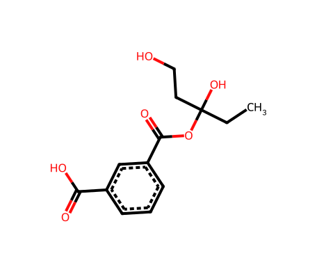 CCC(O)(CCO)OC(=O)c1cccc(C(=O)O)c1